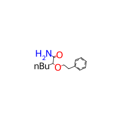 CCCCC(OCCc1ccccc1)C(N)=O